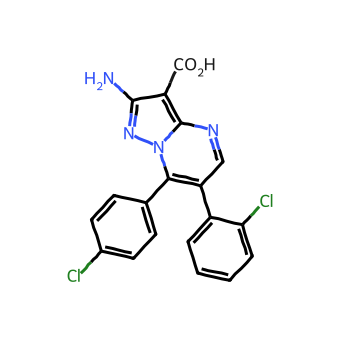 Nc1nn2c(-c3ccc(Cl)cc3)c(-c3ccccc3Cl)cnc2c1C(=O)O